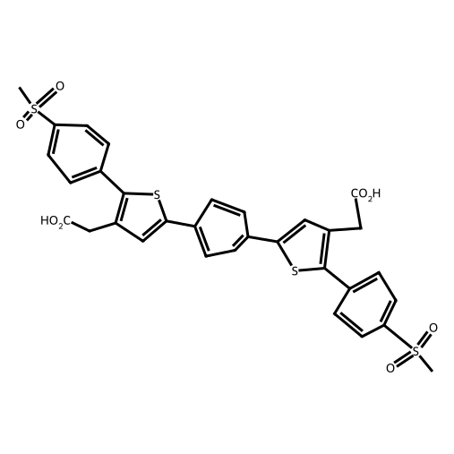 CS(=O)(=O)c1ccc(-c2sc(-c3ccc(-c4cc(CC(=O)O)c(-c5ccc(S(C)(=O)=O)cc5)s4)cc3)cc2CC(=O)O)cc1